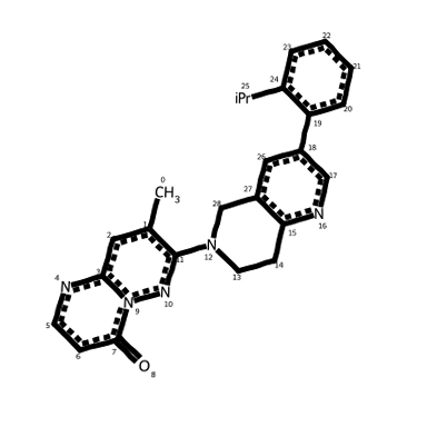 Cc1cc2nccc(=O)n2nc1N1CCc2ncc(-c3ccccc3C(C)C)cc2C1